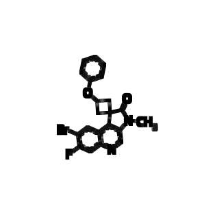 CN1C(=O)C2(CC(Oc3ccccc3)C2)c2c1cnc1cc(F)c(Br)cc21